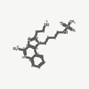 CS(=O)(=O)NCCCCn1c(CCO)nc2c(N)nc3ccccc3c21